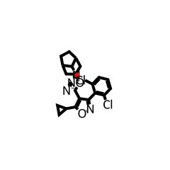 [N-]=[N+]=NC1C2CCC1CC(OCc1c(-c3c(Cl)cccc3Cl)noc1C1CC1)C2